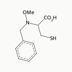 CON(Cc1ccccc1)C(CS)C(=O)O